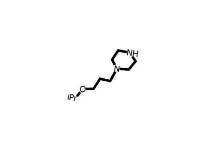 CC(C)OCCCN1CCNCC1